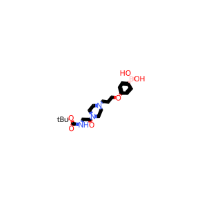 CC(C)(C)OC(=O)NCC(=O)N1CCN(CCCOc2ccc(B(O)O)cc2)CC1